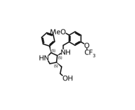 COc1ccc(OC(F)(F)F)cc1CN[C@H]1[C@@H](CCO)CN[C@H]1c1ccccc1